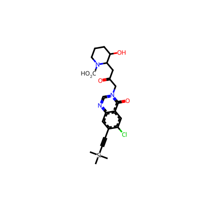 C[Si](C)(C)C#Cc1cc2ncn(CC(=O)CC3C(O)CCCN3C(=O)O)c(=O)c2cc1Cl